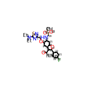 CCN(CC)c1nc(COc2cc3c(C(=O)NC)c(-c4ccc(F)cc4)oc3cc2NCS(C)(=O)=O)ns1